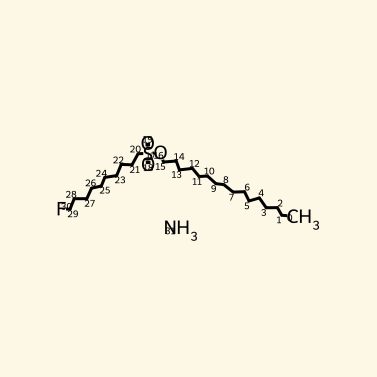 CCCCCCCCCCCCCCCCOS(=O)(=O)CCCCCCCCCCF.N